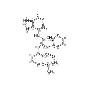 C[C@@H](Nc1ncnc2[nH]cnc12)c1cc2cccc(N(C)C)c2c(=O)n1-c1ccccc1